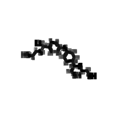 CCC(SCCS)c1ccc(SC2=CC=C([C@H](CS)SCCS)CC2)cc1